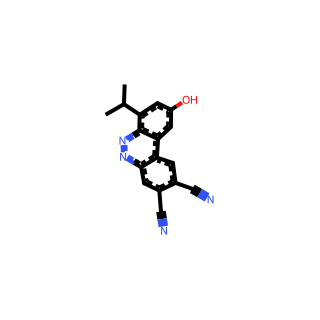 CC(C)c1cc(O)cc2c1nnc1cc(C#N)c(C#N)cc12